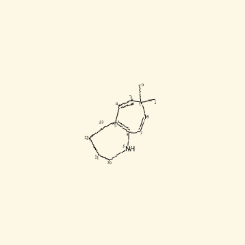 CC1(C)C=CC2=C(C=C1)NCCCC2